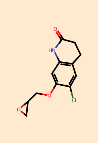 O=C1CCc2cc(Cl)c(OCC3CO3)cc2N1